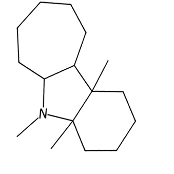 CN1C2CCCCCC2C2(C)CCCCC12C